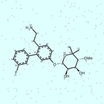 CO[C@@H]1[C@@H](O)[C@@H](O)[C@H](Oc2ccc(CCN)c(-c3cccc(F)c3)c2)OC1(C)C